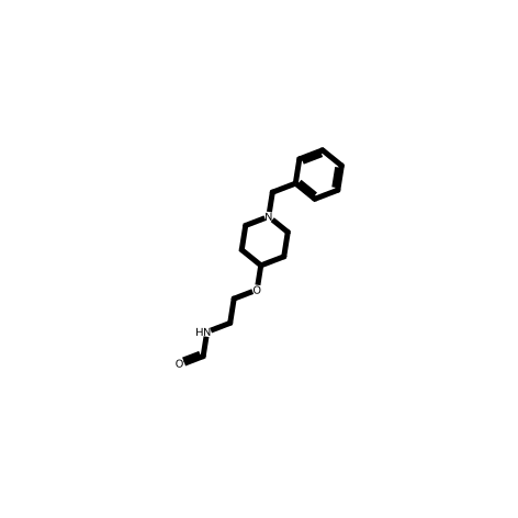 O=CNCCOC1CCN(Cc2ccccc2)CC1